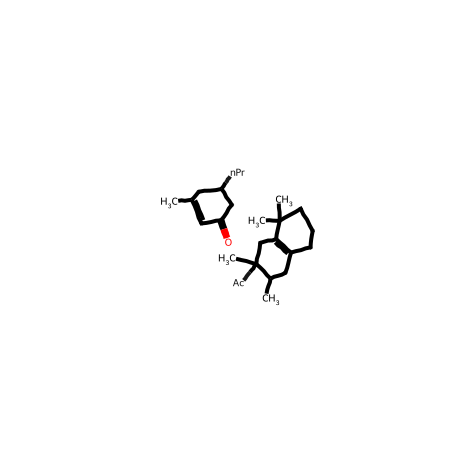 CC(=O)C1(C)CC2=C(CCCC2(C)C)CC1C.CCCC1CC(=O)C=C(C)C1